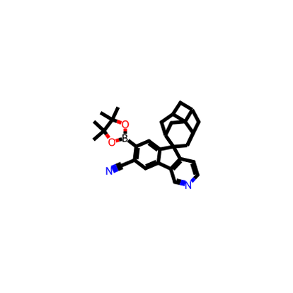 CC1(C)OB(c2cc3c(cc2C#N)-c2cnccc2C32C3CC4CC5CC2CC45C3)OC1(C)C